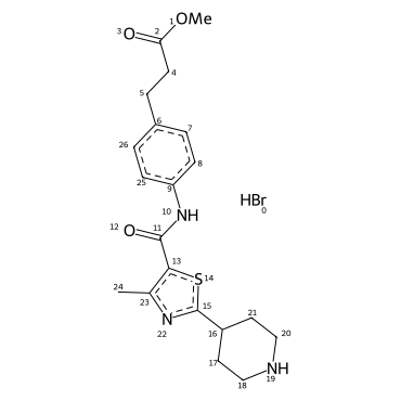 Br.COC(=O)CCc1ccc(NC(=O)c2sc(C3CCNCC3)nc2C)cc1